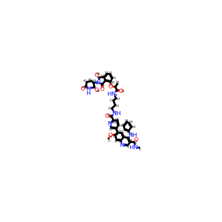 CNC(=O)c1cnc2cc(OC)c(-c3ccc(C(=O)NCCCCNC(=O)C(C)Oc4cccc5c4C(=O)N(C4CCC(=O)NC4=O)C5=O)nc3)cc2c1Nc1ccccc1